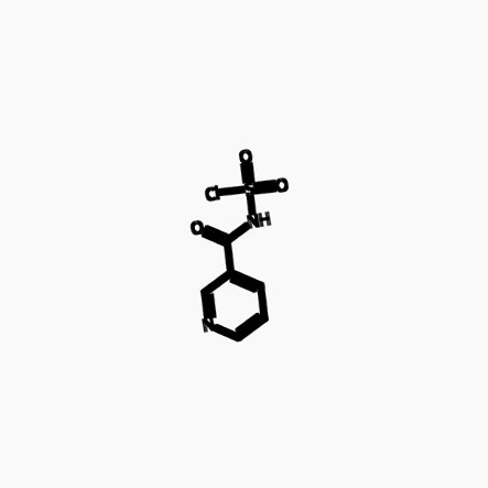 O=C(NS(=O)(=O)Cl)c1cccnc1